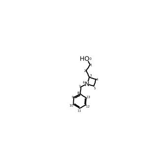 OCCC1CCN1Cc1ccccc1